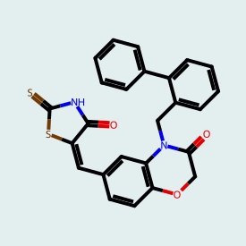 O=C1NC(=S)SC1=Cc1ccc2c(c1)N(Cc1ccccc1-c1ccccc1)C(=O)CO2